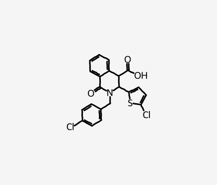 O=C(O)C1c2ccccc2C(=O)N(Cc2ccc(Cl)cc2)C1c1ccc(Cl)s1